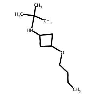 CCCCOC1CC(NC(C)(C)C)C1